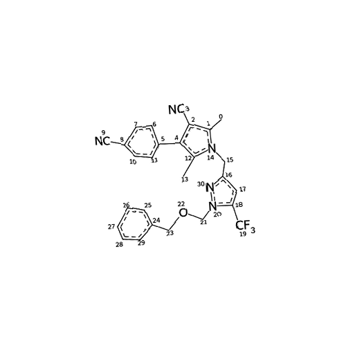 Cc1c(C#N)c(-c2ccc(C#N)cc2)c(C)n1Cc1cc(C(F)(F)F)n(COCc2ccccc2)n1